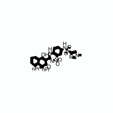 CCCC1(CCC)C(=O)C(C2=NS(=O)(=O)c3cc(NS(=O)(=O)c4cn(C)cn4)ccc3N2)=C(O)c2ccccc21